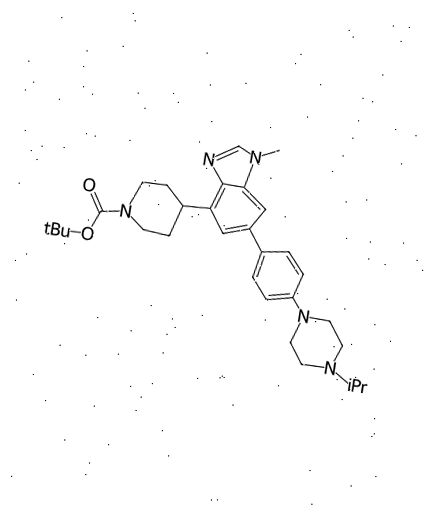 CC(C)N1CCN(c2ccc(-c3cc(C4CCN(C(=O)OC(C)(C)C)CC4)c4ncn(C)c4c3)cc2)CC1